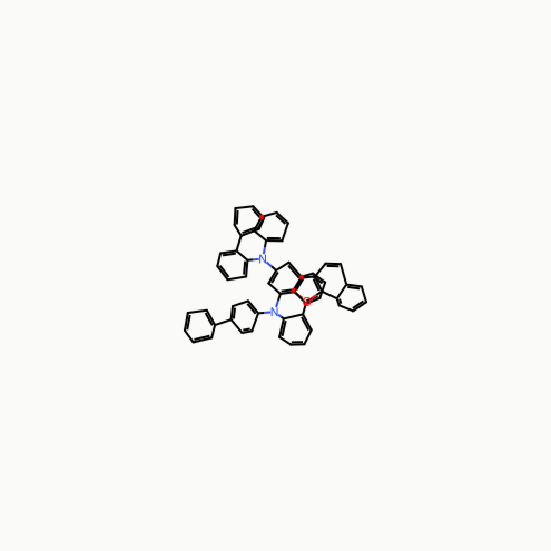 c1ccc(-c2ccc(N(c3ccccc3-c3ccccc3)c3cc(N(c4ccccc4)c4ccccc4-c4ccccc4)cc4c3oc3c5ccccc5ccc43)cc2)cc1